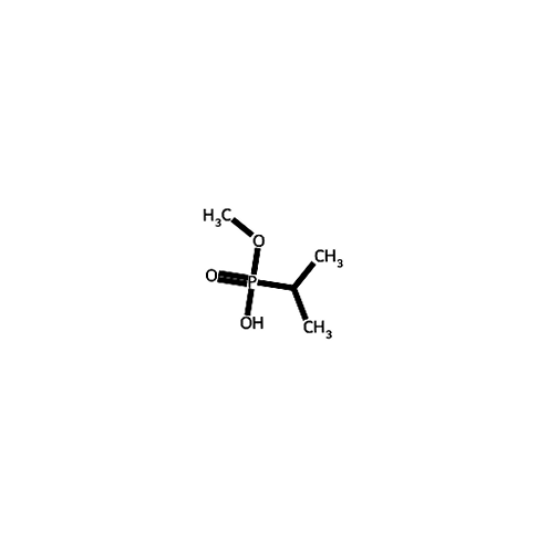 COP(=O)(O)C(C)C